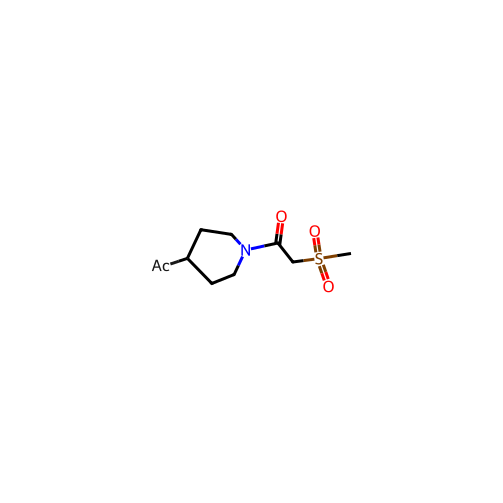 CC(=O)C1CCN(C(=O)CS(C)(=O)=O)CC1